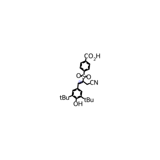 CC(C)(C)c1cc(/C=C(\CC#N)S(=O)(=O)c2ccc(C(=O)O)cc2)cc(C(C)(C)C)c1O